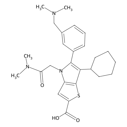 CN(C)Cc1cccc(-c2c(C3CCCCC3)c3sc(C(=O)O)cc3n2CC(=O)N(C)C)c1